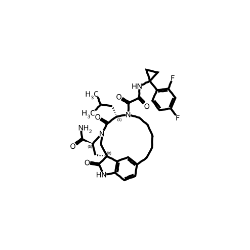 CC(C)C[C@H]1C(=O)N2C[C@]3(C[C@H]2C(N)=O)C(=O)Nc2ccc(cc23)CCCCCN1C(=O)C(=O)NC1(c2ccc(F)cc2F)CC1